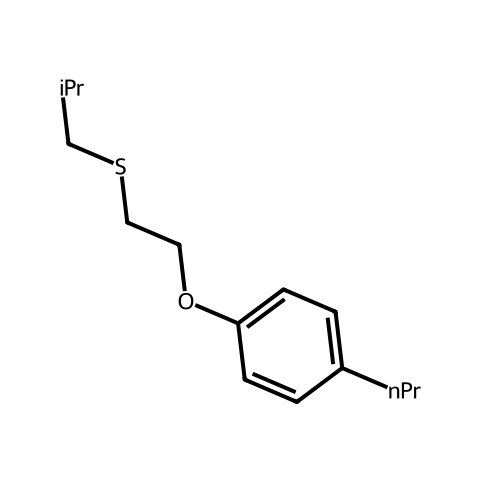 CCCc1ccc(OCCSCC(C)C)cc1